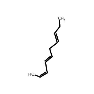 CCC=CCC=C/C=C\O